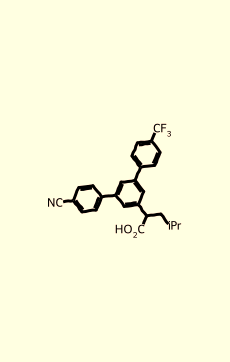 CC(C)CC(C(=O)O)c1cc(-c2ccc(C#N)cc2)cc(-c2ccc(C(F)(F)F)cc2)c1